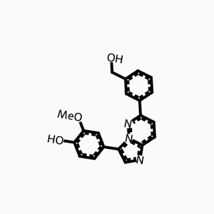 COc1cc(-c2cnc3ccc(-c4cccc(CO)c4)nn23)ccc1O